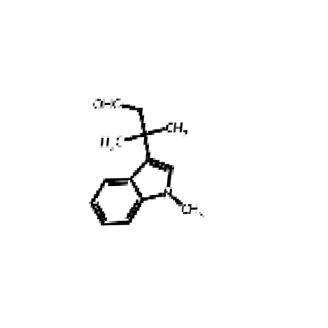 Cn1cc(C(C)(C)CC=O)c2ccccc21